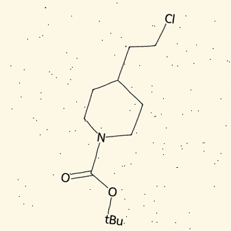 CC(C)(C)OC(=O)N1CCC([CH]CCl)CC1